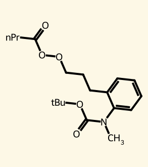 CCCC(=O)OOCCCc1ccccc1N(C)C(=O)OC(C)(C)C